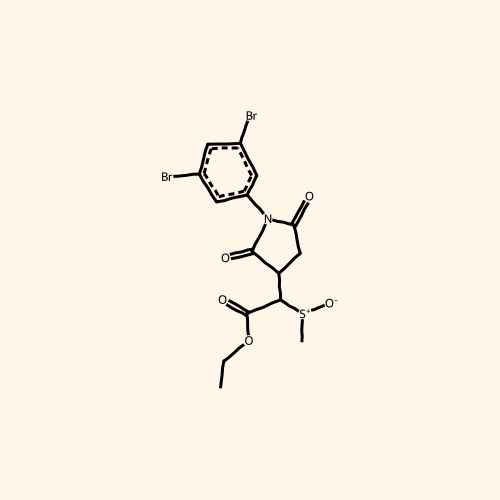 CCOC(=O)C(C1CC(=O)N(c2cc(Br)cc(Br)c2)C1=O)[S+](C)[O-]